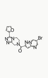 O=C(c1cc2ncc(Br)cn2n1)N1CCn2c(nnc2-c2ccco2)C1